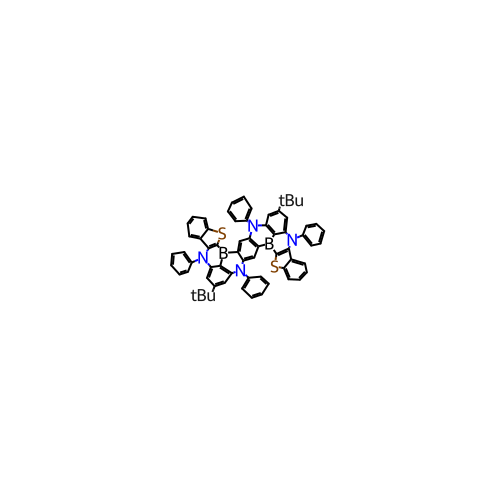 CC(C)(C)c1cc2c3c(c1)N(c1ccccc1)c1c(sc4ccccc14)B3c1cc3c(cc1N2c1ccccc1)B1c2sc4ccccc4c2N(c2ccccc2)c2cc(C(C)(C)C)cc(c21)N3c1ccccc1